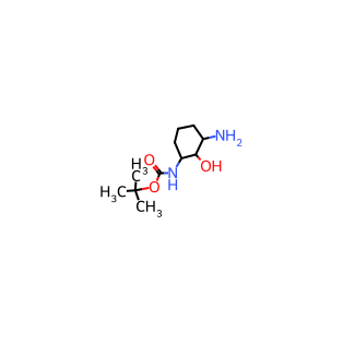 CC(C)(C)OC(=O)NC1CCCC(N)C1O